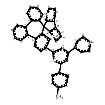 Cc1ccc(-c2cc(-c3ccncc3)nc(-c3ccc4c(c3)C3(c5ccccc5-c5ccccc5-4)c4ccccc4-c4ccccc43)n2)cc1